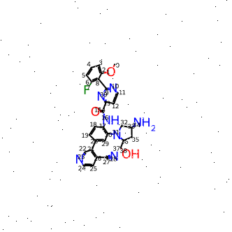 COc1cccc(F)c1-c1nccc(C(=O)Nc2ccc(-c3cnccc3C#N)cc2N2CC(N)CC2CO)n1